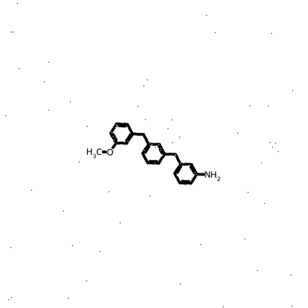 COc1cccc(Cc2cccc(Cc3cccc(N)c3)c2)c1